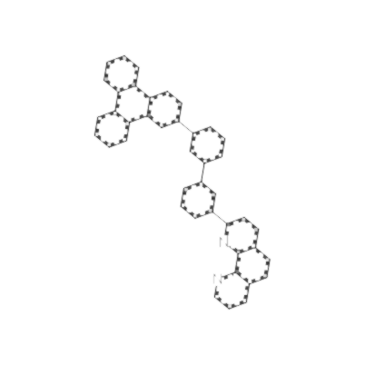 c1cc(-c2cccc(-c3ccc4ccc5cccnc5c4n3)c2)cc(-c2ccc3c4ccccc4c4ccccc4c3c2)c1